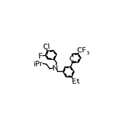 CCc1cc(CN(CCC(C)C)Cc2ccc(Cl)c(F)c2)cc(-c2ccc(C(F)(F)F)cc2)c1